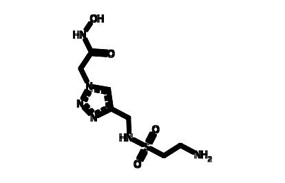 NCCS(=O)(=O)NCc1cn(CC(=O)NO)nn1